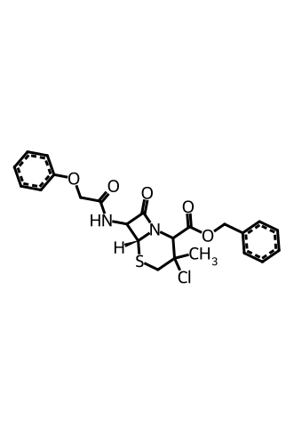 CC1(Cl)CS[C@@H]2C(NC(=O)COc3ccccc3)C(=O)N2C1C(=O)OCc1ccccc1